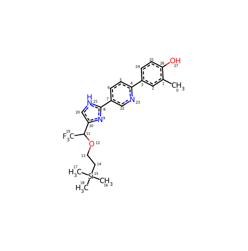 Cc1cc(-c2ccc(-c3nc(C(OCC[Si](C)(C)C)C(F)(F)F)c[nH]3)cn2)ccc1O